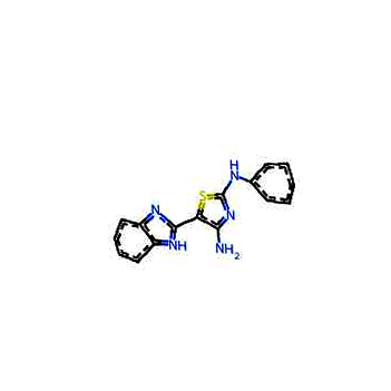 Nc1nc(Nc2ccccc2)sc1-c1nc2ccccc2[nH]1